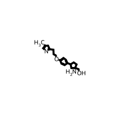 CC1=CN=C(CCCOc2ccc(C3CC[C@](N)(CO)C3)cc2)C1